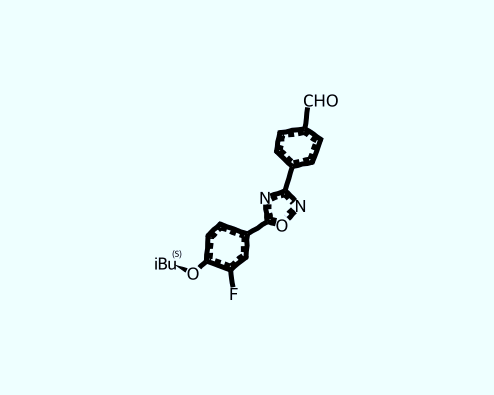 CC[C@H](C)Oc1ccc(-c2nc(-c3ccc(C=O)cc3)no2)cc1F